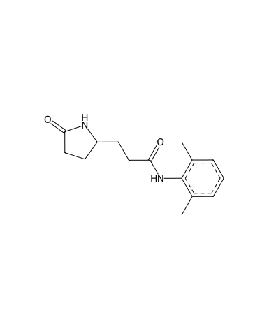 Cc1cccc(C)c1NC(=O)CCC1CCC(=O)N1